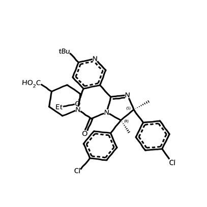 CCOc1cc(C(C)(C)C)ncc1C1=N[C@@](C)(c2ccc(Cl)cc2)[C@@](C)(c2ccc(Cl)cc2)N1C(=O)N1CCC(C(=O)O)CC1